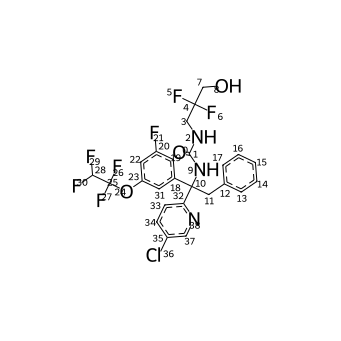 O=C(NCC(F)(F)CO)NC(Cc1ccccc1)(c1cc(F)cc(OC(F)(F)C(F)F)c1)c1ccc(Cl)cn1